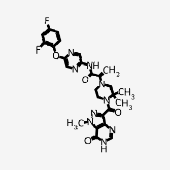 C=C(C(=O)Nc1cnc(Oc2ccc(F)cc2F)cn1)N1CCN(C(=O)c2nn(C)c3c(=O)[nH]cnc23)C(C)(C)C1